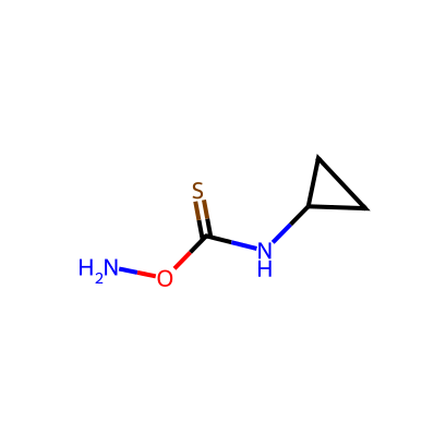 NOC(=S)NC1CC1